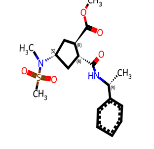 COC(=O)[C@@H]1C[C@@H](N(C)S(C)(=O)=O)C[C@H]1C(=O)N[C@H](C)c1ccccc1